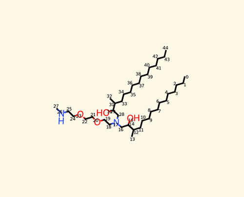 CCCCCCCCCCCCC(C)C(O)CN(CCOCCOCCNC)CC(O)C(C)CCCCCCCCCCCC